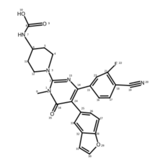 Cn1c(N2CCC(NC(=O)O)CC2)nc(-c2ccc(C#N)c(F)c2)c(-c2ccc3occc3c2)c1=O